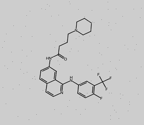 O=C(CCCN1CCCCC1)Nc1ccc2ccnc(Nc3ccc(F)c(C(F)(F)F)c3)c2c1